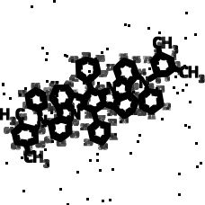 Cc1cc(C)cc(N(c2ccccc2)c2cccc3c2c2cccc4c5c(-c6ccccc6)c6c(c(-c7ccccc7)c5n3c24)c2cccc3c4c(N(c5ccccc5)c5cc(C)ccc5C)cccc4n6c32)c1